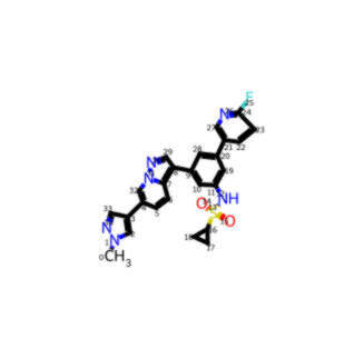 Cn1cc(-c2ccc3c(-c4cc(NS(=O)(=O)C5CC5)cc(-c5ccc(F)nc5)c4)cnn3c2)cn1